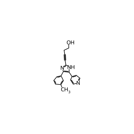 Cc1cccc(-c2nc(C#CCCO)[nH]c2-c2ccncc2)c1